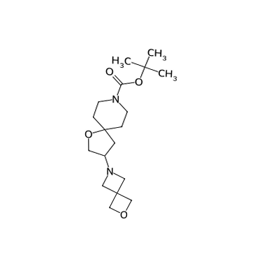 CC(C)(C)OC(=O)N1CCC2(CC1)CC(N1CC3(COC3)C1)CO2